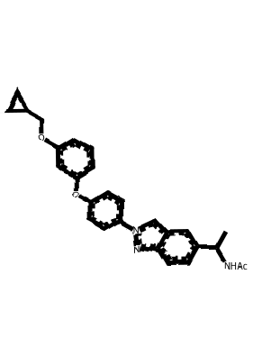 CC(=O)NC(C)c1ccc2nn(-c3ccc(Oc4cccc(OCC5CC5)c4)cc3)cc2c1